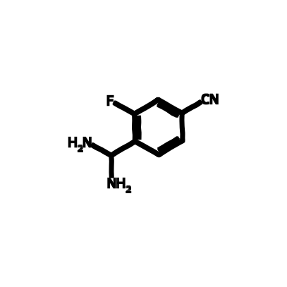 N#Cc1ccc(C(N)N)c(F)c1